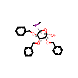 CP(C)[C@@H]1O[C@H](O)[C@H](OCc2ccccc2)[C@@H](OCc2ccccc2)[C@@H]1OCc1ccccc1